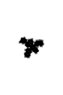 Cc1cccc(-c2ccc3c4c(cccc24)-c2c-3c(-c3ccc4ccccc4c3)c3ccccc3c2-c2ccc3ccccc3c2)c1